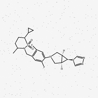 CC1CCC(C2CC2)S(=O)(=O)N1Cc1cc(F)c(N2C[C@@H]3[C@H](C2)[C@@H]3n2cnnc2)cc1F